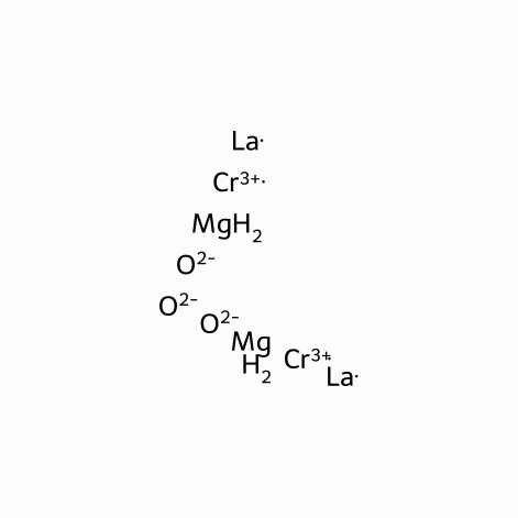 [Cr+3].[Cr+3].[La].[La].[MgH2].[MgH2].[O-2].[O-2].[O-2]